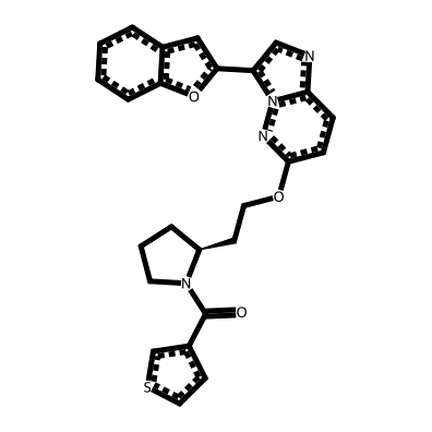 O=C(c1ccsc1)N1CCC[C@H]1CCOc1ccc2ncc(-c3cc4ccccc4o3)n2n1